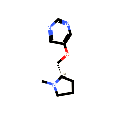 CN1CCC[C@H]1COc1cncnc1